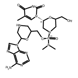 Cc1cn([C@H]2CN([P@@](=O)(OCC3CNCC(n4cnc5c(N)ncnc54)O3)N(C)C)CC(CO)O2)c(=O)[nH]c1=O